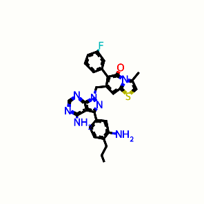 CCCc1ccc(-c2nn(Cc3cc4scc(C)n4c(=O)c3-c3cccc(F)c3)c3ncnc(N)c23)cc1N